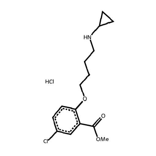 COC(=O)c1cc(Cl)ccc1OCCCCNC1CC1.Cl